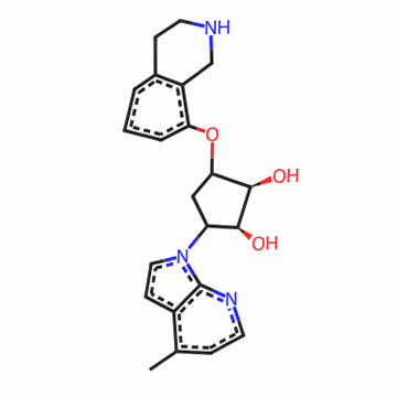 Cc1ccnc2c1ccn2C1CC(Oc2cccc3c2CNCC3)[C@@H](O)[C@H]1O